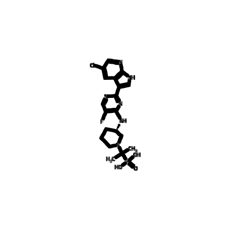 CC(C)(N1CCC[C@H](Nc2nc(-c3c[nH]c4ncc(Cl)cc34)ncc2F)C1)P(=O)(O)O